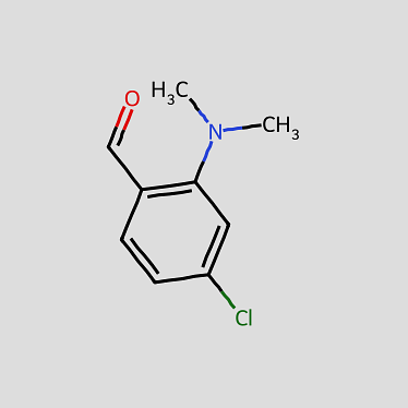 CN(C)c1cc(Cl)ccc1C=O